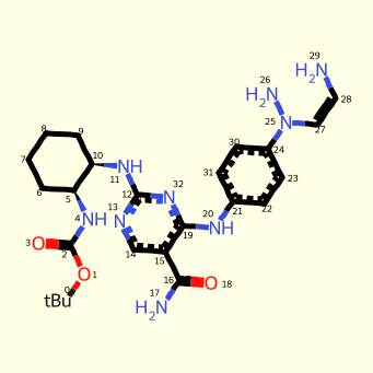 CC(C)(C)OC(=O)N[C@H]1CCCC[C@H]1Nc1ncc(C(N)=O)c(Nc2ccc(N(N)/C=C\N)cc2)n1